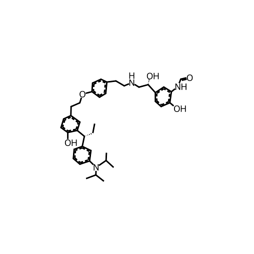 CC[C@H](c1cccc(N(C(C)C)C(C)C)c1)c1cc(CCOc2ccc(CCNC[C@H](O)c3ccc(O)c(NC=O)c3)cc2)ccc1O